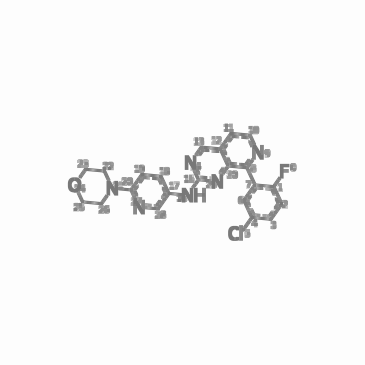 Fc1ccc(Cl)cc1-c1nccc2cnc(Nc3ccc(N4CCOCC4)nc3)nc12